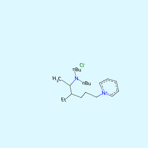 CCCCN(CCCC)C(C)C(CC)CCC[n+]1ccccc1.[Cl-]